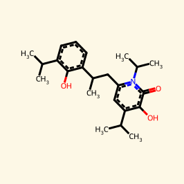 CC(C)c1cccc(C(C)Cc2cc(C(C)C)c(O)c(=O)n2C(C)C)c1O